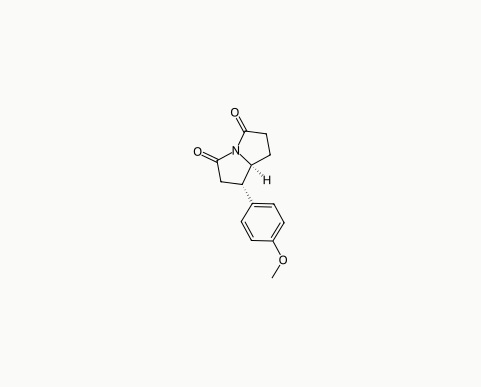 COc1ccc([C@@H]2CC(=O)N3C(=O)CC[C@@H]23)cc1